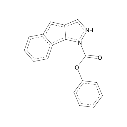 O=C(Oc1ccccc1)n1[nH]cc2cc3ccccc3c1-2